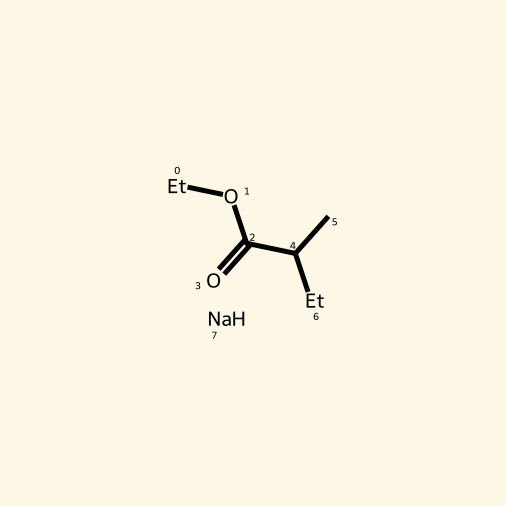 CCOC(=O)C(C)CC.[NaH]